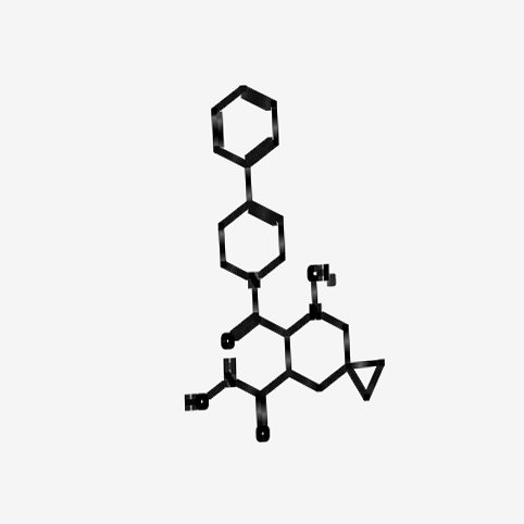 CN1CC2(CC2)CC(C(=O)NO)C1C(=O)N1CC=C(c2ccccc2)CC1